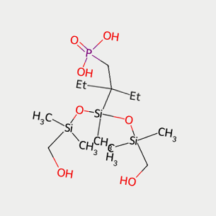 CCC(CC)(CP(=O)(O)O)[Si](C)(O[Si](C)(C)CO)O[Si](C)(C)CO